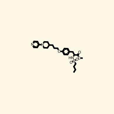 CCCCS(=O)(=O)NC(Cc1ccc(OCCCC2CCN(c3ccncc3)CC2)cc1)C(=O)OC